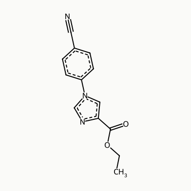 CCOC(=O)c1cn(-c2ccc(C#N)cc2)cn1